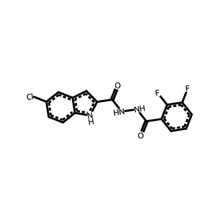 O=C(NNC(=O)c1cccc(F)c1F)c1cc2cc(Cl)ccc2[nH]1